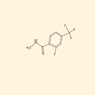 [CH2-][NH2+]C(=O)c1ccc(C(F)(F)F)cc1F